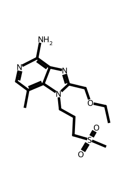 CCOCc1nc2c(N)ncc(C)c2n1CCCS(C)(=O)=O